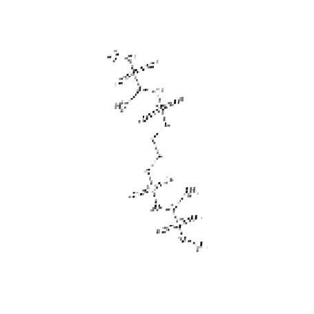 COS(=O)(=O)C(C)OS(=O)(=O)CCCCS(=O)(=O)OC(C)S(=O)(=O)OC